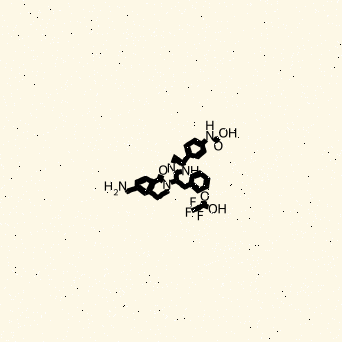 NCc1ccc2c(c1)CCN(C(Cc1ccccc1)c1ncc(-c3ccc(NC(=O)O)cc3)[nH]1)C2=O.O=C(O)C(F)(F)F